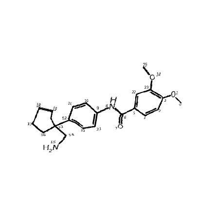 COc1ccc(C(=O)Nc2ccc(C3(CN)CCCC3)cc2)cc1OC